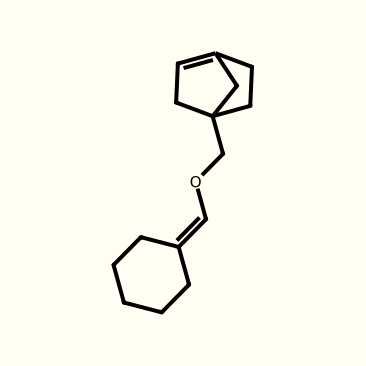 C(OCC12CC=C(CC1)C2)=C1CCCCC1